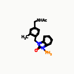 CC(=O)NCc1ccc(Cn2c(=O)n(P)c3ccccc32)c(C)c1